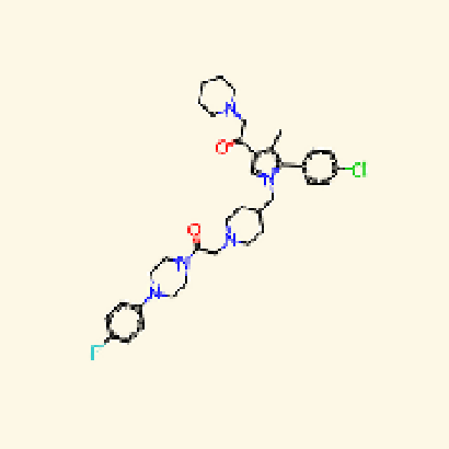 Cc1c(C(=O)CN2CCCCC2)cn(CC2CCN(CC(=O)N3CCN(c4ccc(F)cc4)CC3)CC2)c1-c1ccc(Cl)cc1